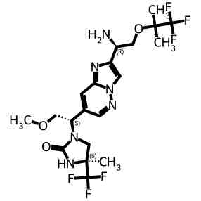 COC[C@H](c1cnn2cc([C@@H](N)COC(C)(C)C(F)(F)F)nc2c1)N1C[C@@](C)(C(F)(F)F)NC1=O